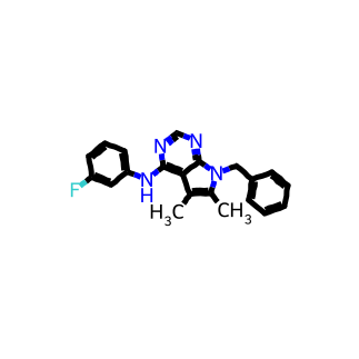 Cc1c(C)n(Cc2ccccc2)c2ncnc(Nc3cccc(F)c3)c12